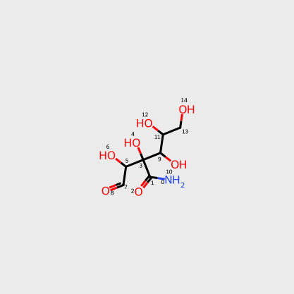 NC(=O)C(O)(C(O)C=O)C(O)C(O)CO